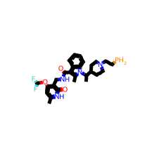 Cc1cc(OC(F)F)c(CNC(=O)c2c(C)n(C(C)C3CCN(CCP)CC3)c3ccccc23)c(=O)[nH]1